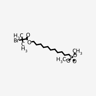 COP(=O)(CCCCCCCCCCCOC(=O)C(C)(C)Br)OC